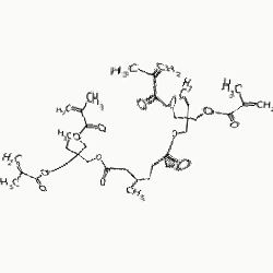 C=C(C)C(=O)OCC(CC)(COC(=O)CCC(C)CC(=O)OCC(CC)(COC(=O)C(=C)C)COC(=O)C(=C)C)COC(=O)C(=C)C